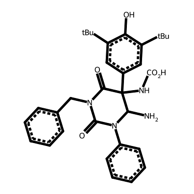 CC(C)(C)c1cc(C2(NC(=O)O)C(=O)N(Cc3ccccc3)C(=O)N(c3ccccc3)C2N)cc(C(C)(C)C)c1O